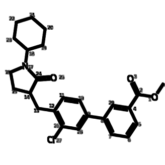 COC(=O)c1cccc(-c2ccc(CC3CCN(C4CCCCC4)C3=O)c(Cl)c2)c1